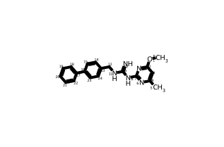 COc1cc(C)nc(NC(=N)NCc2ccc(-c3ccccc3)cc2)n1